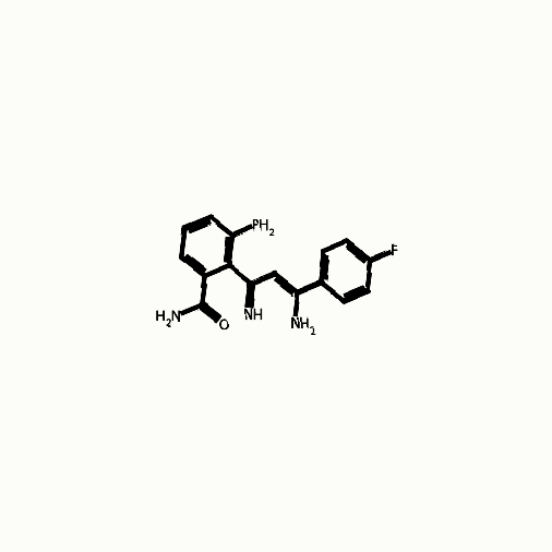 N=C(/C=C(\N)c1ccc(F)cc1)c1c(P)cccc1C(N)=O